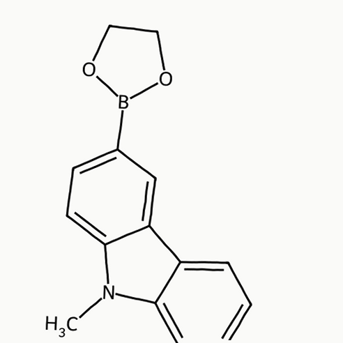 Cn1c2ccccc2c2cc(B3OCCO3)ccc21